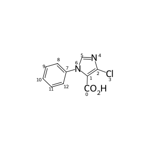 O=C(O)c1c(Cl)ncn1-c1ccccc1